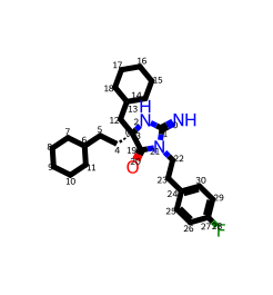 N=C1N[C@](CCC2CCCCC2)(CC2CCCCC2)C(=O)N1CCc1ccc(F)cc1